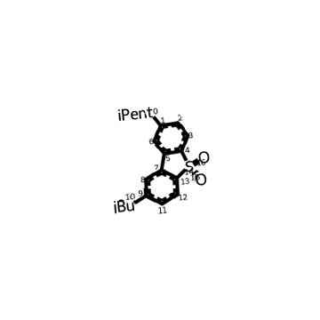 CCCC(C)c1ccc2c(c1)-c1cc(C(C)CC)ccc1S2(=O)=O